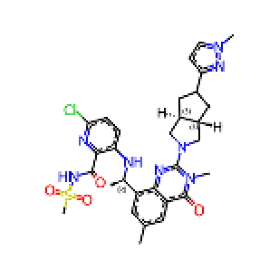 Cc1cc([C@@H](C)Nc2ccc(Cl)nc2C(=O)NS(C)(=O)=O)c2nc(N3C[C@H]4CC(c5ccn(C)n5)C[C@@H]4C3)n(C)c(=O)c2c1